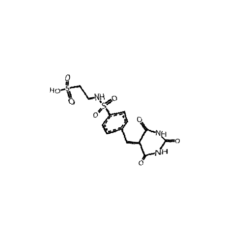 O=C1NC(=O)C(Cc2ccc(S(=O)(=O)NCCS(=O)(=O)O)cc2)C(=O)N1